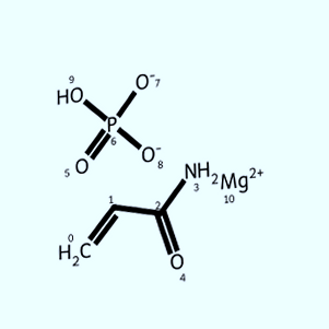 C=CC(N)=O.O=P([O-])([O-])O.[Mg+2]